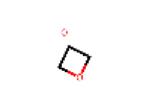 C1COC1.[O]